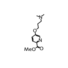 COC(=O)c1ccc(OCCCN(C)C)cn1